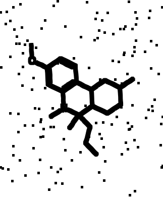 CCCC1(C)C2CCC(C)CC2c2ccc(OC)cc2N1C